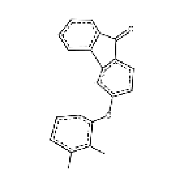 Cc1cccc(Oc2[c]c3c(cc2)C(=O)c2ccccc2-3)c1C